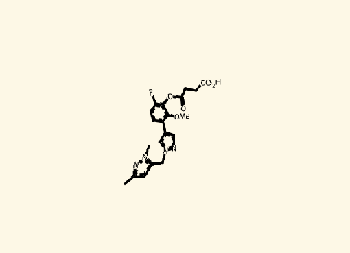 COc1c(-c2cnn(Cc3cc(C)nn3C)c2)ccc(F)c1OC(=O)CCC(=O)O